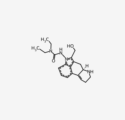 CCN(CC)C(=O)Nn1c(CO)c2c3c(cccc31)C1=CCCN[C@@H]1C2